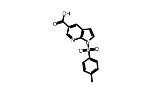 Cc1ccc(S(=O)(=O)n2ccc3cc(C(=O)O)cnc32)cc1